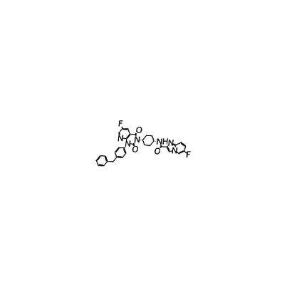 O=C(N[C@H]1CC[C@@H](n2c(=O)c3cc(F)cnc3n(-c3ccc(Cc4ccccc4)cc3)c2=O)CC1)c1cn2cc(F)ccc2n1